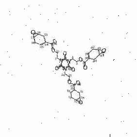 O=C(OCCn1c(=O)n(CCOC(=O)C2CCC3OC3C2)c(=O)n(CCOC(=O)C2CCC3OC3C2)c1=O)C1CCC2OC2C1